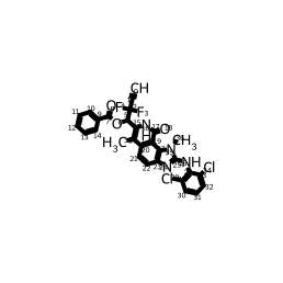 C#CC(F)(F)C(OC(=O)c1ccccc1)c1[nH]c(=O)c2c(ccc3nc(Nc4c(Cl)cccc4Cl)n(C)c32)c1C